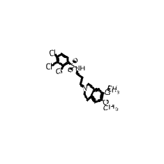 COc1cc2c(cc1OC)CN(CCCNS(=O)(=O)c1ccc(Cl)c(Cl)c1Cl)CC2